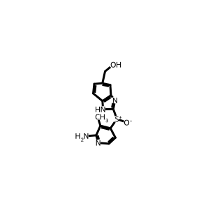 Cc1c([S+]([O-])c2nc3cc(CO)ccc3[nH]2)ccnc1N